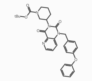 CC(C)(C)OC(=O)N1CCCC(n2c(=O)c3ncccc3n(Cc3ccc(Oc4ccccc4)cc3)c2=O)C1